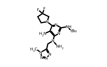 Cn1nnnc1CN(N)c1nc(NC(C)(C)C)nc(N2CCC(F)(F)C2)c1N